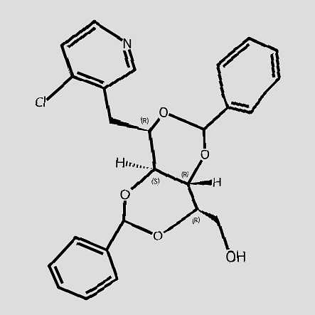 OC[C@H]1OC(c2ccccc2)O[C@@H]2[C@@H]1OC(c1ccccc1)O[C@@H]2Cc1cnccc1Cl